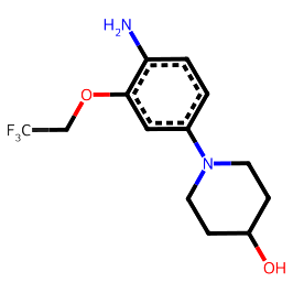 Nc1ccc(N2CCC(O)CC2)cc1OCC(F)(F)F